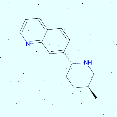 C[C@H]1CC[C@H](c2ccc3cccnc3c2)NC1